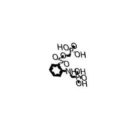 O=P(O)(O)CNc1ccccc1S(=O)(=O)OCP(=O)(O)O